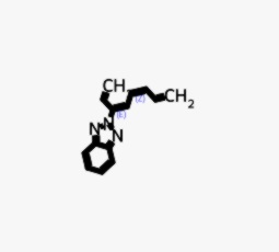 C=C/C=C\C=C(/C=C)n1nc2ccccc2n1